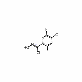 O/N=C(\Cl)c1cc(F)c(Cl)cc1F